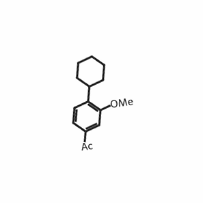 COc1cc(C(C)=O)ccc1C1CCCCC1